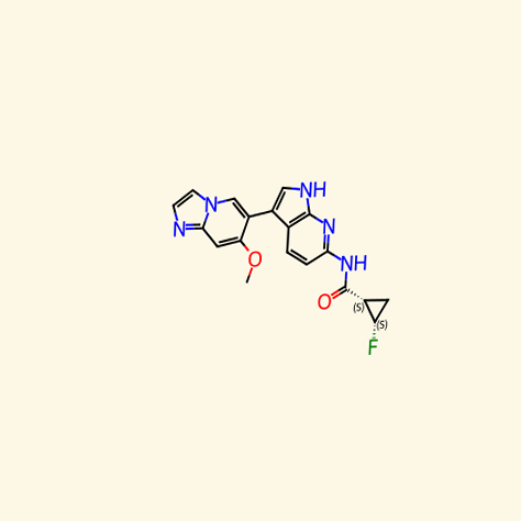 COc1cc2nccn2cc1-c1c[nH]c2nc(NC(=O)[C@@H]3C[C@@H]3F)ccc12